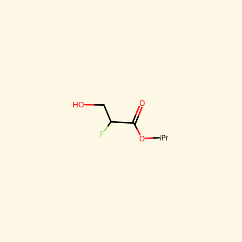 CC(C)OC(=O)C(F)CO